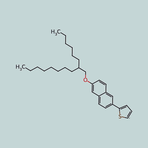 CCCCCCCCC(CCCCCC)COc1ccc2cc(-c3cc[c]s3)ccc2c1